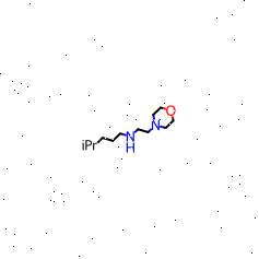 CC(C)CCCNCCN1CCOCC1